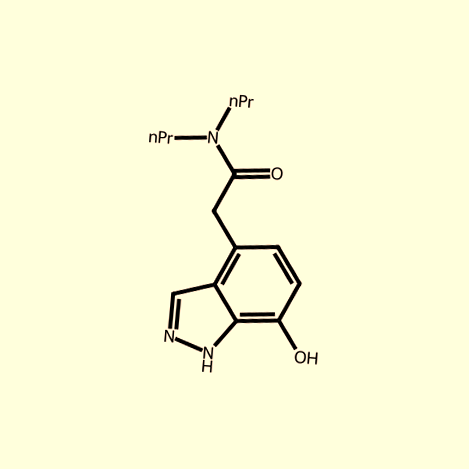 CCCN(CCC)C(=O)Cc1ccc(O)c2[nH]ncc12